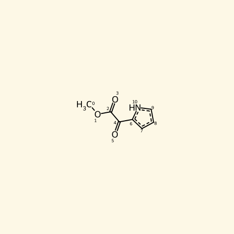 COC(=O)C(=O)c1ccc[nH]1